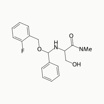 CNC(=O)C(CO)NC(OCc1ccccc1F)c1ccccc1